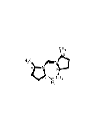 C[C@@H]1CC[C@@H](C)N1C=[N+]1[C@H](C)CC[C@H]1C